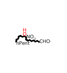 CCCCC/C=C\C/C=C\CC(O)C(/C=C\CCCCCC[C]=O)[N+](=O)[O-]